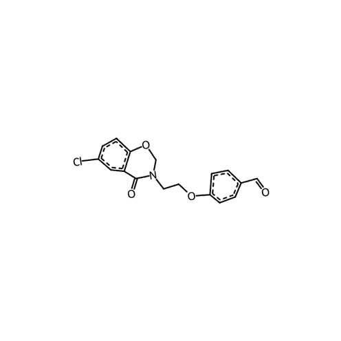 O=Cc1ccc(OCCN2COc3ccc(Cl)cc3C2=O)cc1